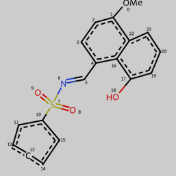 COc1ccc(/C=N/S(=O)(=O)c2ccccc2)c2c(O)cccc12